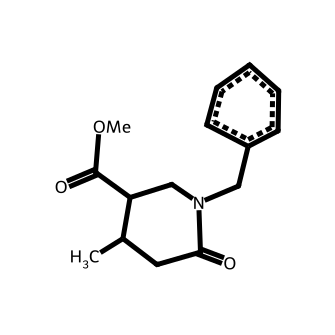 COC(=O)C1CN(Cc2ccccc2)C(=O)CC1C